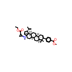 C=C(C)[C@@H]1CC[C@]2(N(C)C3CC3C(=O)OCC)CC[C@]3(C)[C@H](CC[C@@H]4[C@@]5(C)CC=C(c6ccc(C(=O)OC)cc6)C(C)(C)[C@@H]5CC[C@]43C)[C@@H]12